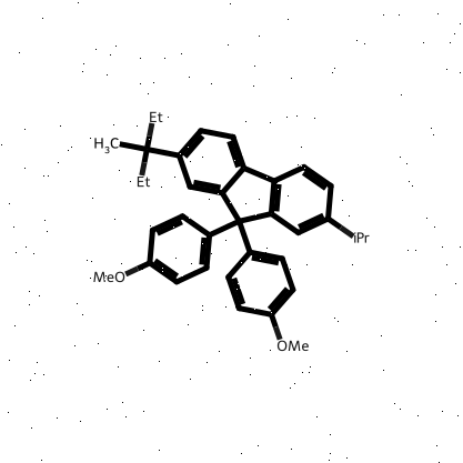 CCC(C)(CC)c1ccc2c(c1)C(c1ccc(OC)cc1)(c1ccc(OC)cc1)c1cc(C(C)C)ccc1-2